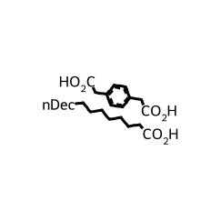 CCCCCCCCCCCCCCCCCC(=O)O.O=C(O)Cc1ccc(CC(=O)O)cc1